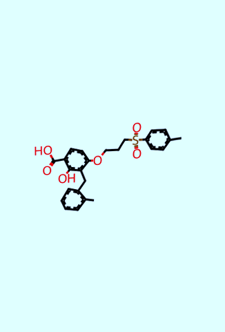 Cc1ccc(S(=O)(=O)CCCOc2ccc(C(=O)O)c(O)c2Cc2ccccc2C)cc1